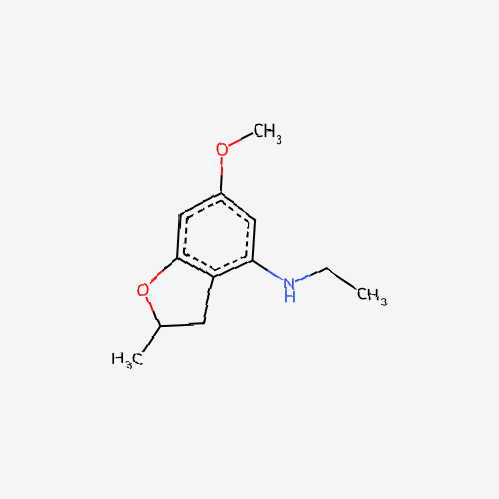 CCNc1cc(OC)cc2c1CC(C)O2